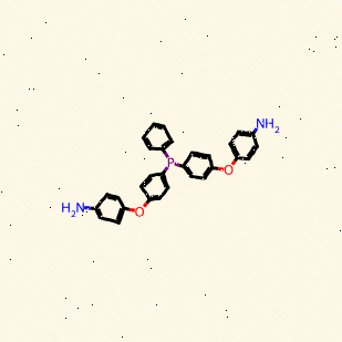 Nc1ccc(Oc2ccc(P(c3ccccc3)c3ccc(Oc4ccc(N)cc4)cc3)cc2)cc1